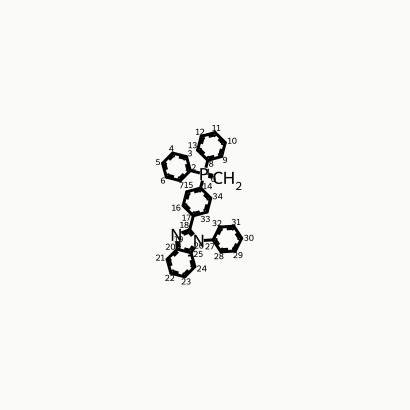 C=P(c1ccccc1)(c1ccccc1)c1ccc(-c2nc3ccccc3n2-c2ccccc2)cc1